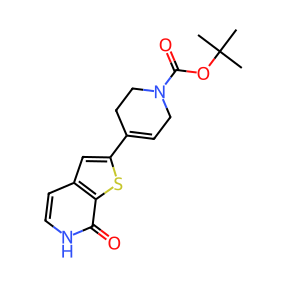 CC(C)(C)OC(=O)N1CC=C(c2cc3cc[nH]c(=O)c3s2)CC1